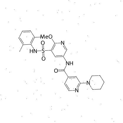 COc1ncc(NC(=O)c2ccnc(N3CCCCC3)c2)cc1S(=O)(=O)Nc1c(C)cccc1C